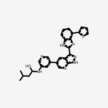 CC(C)CC(O)Nc1cncc(-c2cnc3[nH]nc(-c4nc5c(-c6cccs6)cccc5[nH]4)c3c2)c1